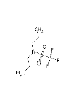 CCCN(CCC)S(=O)(=O)C(F)(F)F